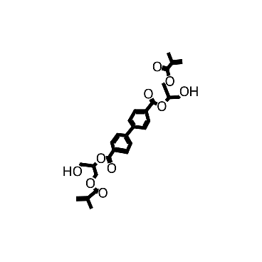 C=C(C)C(=O)OCC(CO)OC(=O)c1ccc(-c2ccc(C(=O)OC(CO)COC(=O)C(=C)C)cc2)cc1